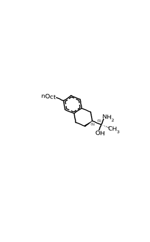 CCCCCCCCc1ccc2c(c1)CC[C@H]([C@@](C)(N)O)C2